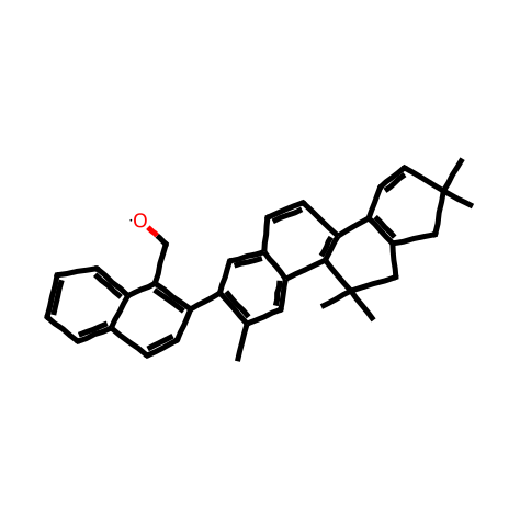 Cc1cc2c3c(ccc2cc1-c1ccc2ccccc2c1C[O])C1=C(CC(C)(C)C=C1)CC3(C)C